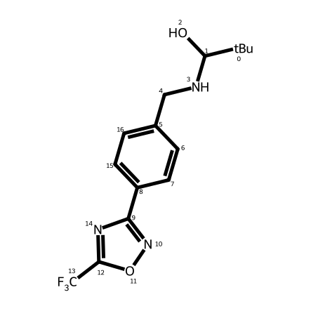 CC(C)(C)C(O)NCc1ccc(-c2noc(C(F)(F)F)n2)cc1